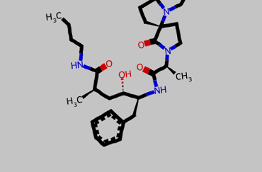 C=CCN1CCC[C@]12CCN([C@@H](C)C(=O)N[C@@H](Cc1ccccc1)[C@@H](O)C[C@@H](C)C(=O)NCCCC)C2=O